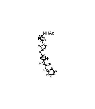 CC(=O)Nc1nnc(C2CCC(Cc3nnc(NC(=O)Cc4ccccc4)s3)C2)s1